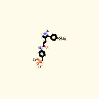 CCOP(=O)(Cc1ccc(NC(=O)/C=C/c2cnn(C)c2-c2ccc(OC)cc2)cc1)OCC